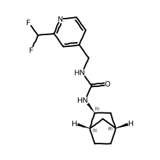 O=C(NCc1ccnc(C(F)F)c1)N[C@H]1C[C@@H]2CC[C@H]1C2